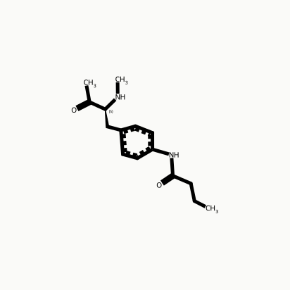 CCCC(=O)Nc1ccc(C[C@H](NC)C(C)=O)cc1